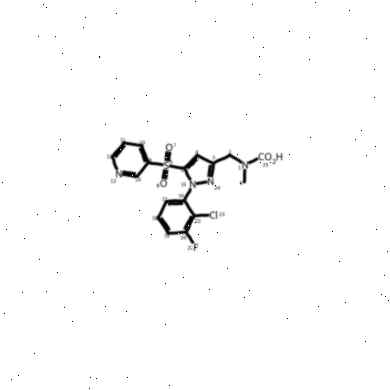 CN(Cc1cc(S(=O)(=O)c2cccnc2)n(-c2cccc(F)c2Cl)n1)C(=O)O